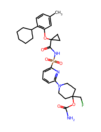 Cc1ccc(C2CCCCC2)c(OC2(C(=O)NS(=O)(=O)c3cccc(N4CCC(CF)(OC(N)=O)CC4)n3)CC2)c1